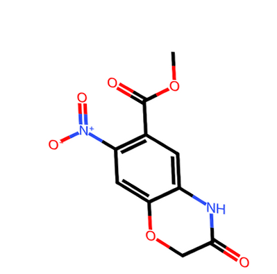 COC(=O)c1cc2c(cc1[N+](=O)[O-])OCC(=O)N2